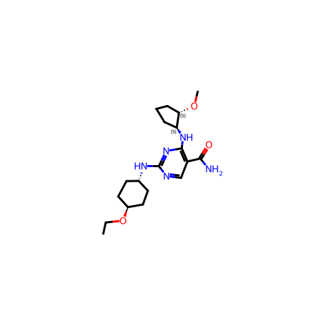 CCO[C@H]1CC[C@H](Nc2ncc(C(N)=O)c(N[C@H]3CCC[C@@H]3OC)n2)CC1